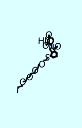 O=C1CCC(N2Cc3c(SCCOCCOCCOCCOCCI)cccc3C2=O)C(=O)N1